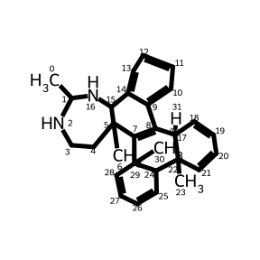 CC1NCCC2(C)C3=C(c4ccccc4C2N1)[C@@H]1C=CC=CC1(C)C1C=CC=CC31C